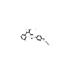 Cc1onc(-c2cccc(F)c2)c1-c1cn(-c2ccc(C(=O)NCCO)cc2)cn1